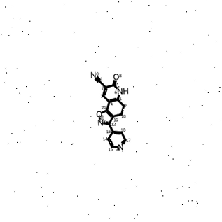 N#Cc1cc2c([nH]c1=O)CCc1c(-c3ccncc3)noc1-2